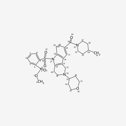 COC(=O)c1ccccc1S(=O)(=O)n1c2c(c3cc(C(=O)N4CCC(C)CC4)ccc31)CN(C1CCOCC1)CC2